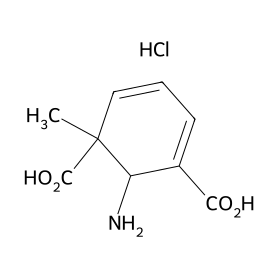 CC1(C(=O)O)C=CC=C(C(=O)O)C1N.Cl